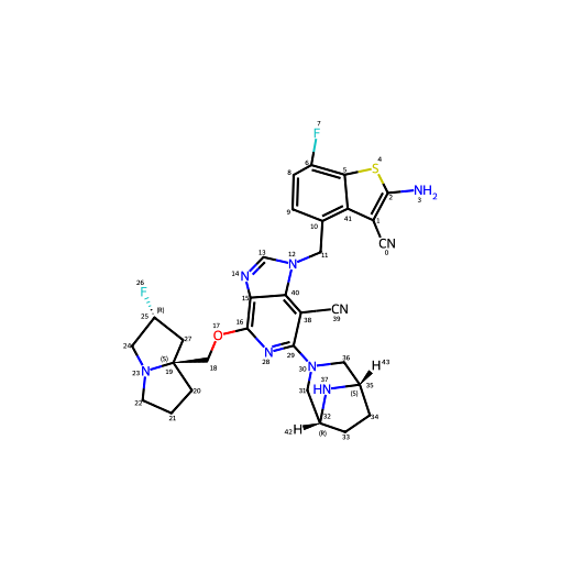 N#Cc1c(N)sc2c(F)ccc(Cn3cnc4c(OC[C@@]56CCCN5C[C@H](F)C6)nc(N5C[C@H]6CC[C@@H](C5)N6)c(C#N)c43)c12